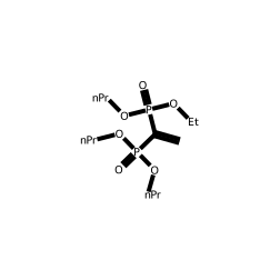 C=C(P(=O)(OCC)OCCC)P(=O)(OCCC)OCCC